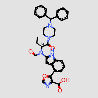 CC[C@@H](C(=O)N1CCN(C(c2ccccc2)c2ccccc2)CC1)N(C=O)c1cc2c(-c3ocnc3C(=O)O)cccc2[nH]1